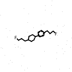 FCCCc1ccc(C2CCC(CCCF)CC2)cc1